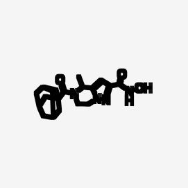 CC1c2cc(C(=O)NO)nn2CCN1C(=O)C12CC3CC(CC(C3)C1)C2